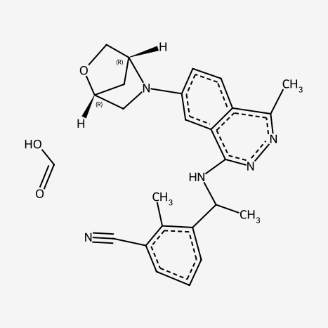 Cc1c(C#N)cccc1C(C)Nc1nnc(C)c2ccc(N3C[C@H]4C[C@@H]3CO4)cc12.O=CO